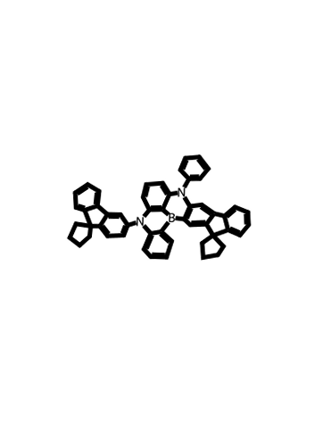 c1ccc(N2c3cc4c(cc3B3c5ccccc5N(c5ccc6c(c5)-c5ccccc5C65CCCC5)c5cccc2c53)C2(CCCC2)c2ccccc2-4)cc1